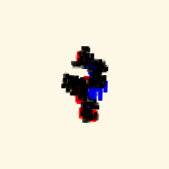 [2H]C([2H])([2H])OC([2H])([2H])C(NC(=O)c1ccn(S(C)(=O)=O)c1)C(=O)Nc1nc(-c2cccc(N3C[C@@H](C)O[C@@H](C)C3)n2)cs1